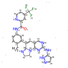 Cc1ccc(NC(=O)c2cc(C(F)(F)F)ccn2)cc1C1=Cc2cnc(Nc3ccn[nH]3)nc2N2CCN=C12